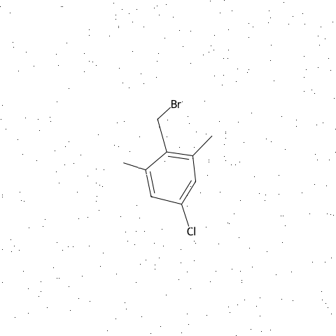 Cc1cc(Cl)cc(C)c1CBr